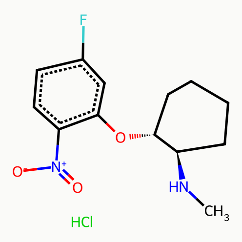 CN[C@@H]1CCCC[C@H]1Oc1cc(F)ccc1[N+](=O)[O-].Cl